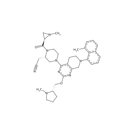 Cc1cccc2cccc(N3CCc4c(nc(OC[C@@H]5CCCN5C)nc4N4CCN(C(=O)[C@H]5CN5C)[C@@H](CC#N)C4)C3)c12